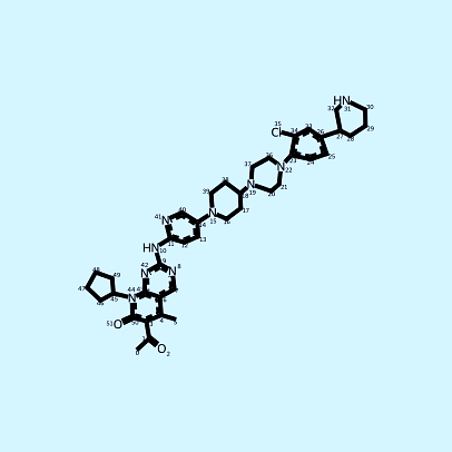 CC(=O)c1c(C)c2cnc(Nc3ccc(N4CCC(N5CCN(c6ccc(C7CCCNC7)cc6Cl)CC5)CC4)cn3)nc2n(C2CCCC2)c1=O